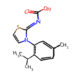 Cc1ccc(C(C)C)c(-n2ccs/c2=N\C(=O)O)c1